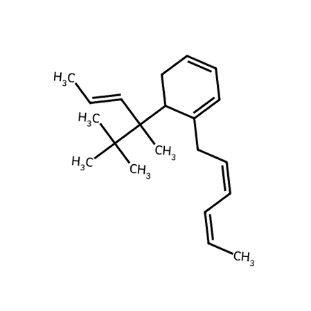 CC=CC(C)(C1CC=CC=C1C/C=C\C=C/C)C(C)(C)C